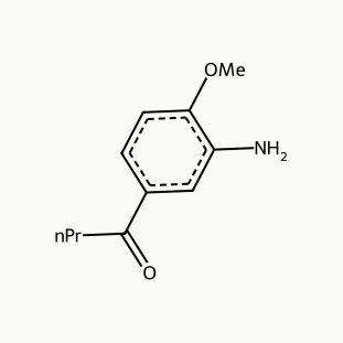 CCCC(=O)c1ccc(OC)c(N)c1